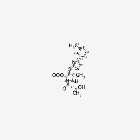 CC(O)[C@@H]1C(=O)N2C(C(=O)[O-])=C(Sc3nc(-c4ccc[n+](C)c4)cs3)[C@H](C)[C@@H]12